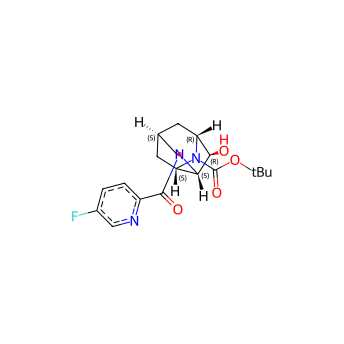 CC(C)(C)OC(=O)N1[C@@H]2C[C@@H]3C[C@H]1[C@@H]([C@@H]2O)N(C(=O)c1ccc(F)cn1)C3